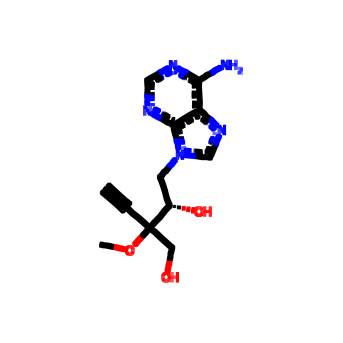 C#CC(CO)(OC)[C@@H](O)Cn1cnc2c(N)ncnc21